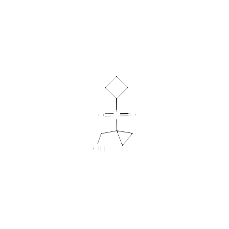 O=S(=O)(C1CCC1)C1(CO)CC1